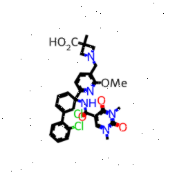 COc1nc(C2(NC(=O)c3cn(C)c(=O)n(C)c3=O)C=CC=C(c3ccccc3Cl)C2Cl)ccc1CN1CC(C)(C(=O)O)C1